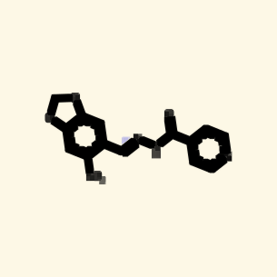 O=C(N/N=C/c1cc2c(cc1[N+](=O)[O-])OCO2)c1ccncc1